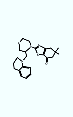 CC1(C)CC(=O)c2sc(N3CCOCC3CN3CCCc4ccccc43)nc2C1